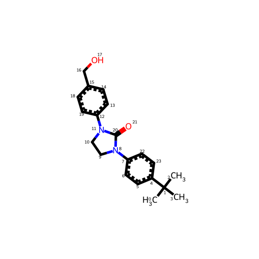 CC(C)(C)c1ccc(N2CCN(c3ccc(CO)cc3)C2=O)cc1